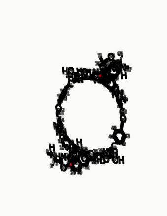 CN[C@@H](C)C(=O)N[C@H](C(=O)N1CC[C@@H]2[C@H]1C(=O)NC(=O)C[C@@H](Cc1ccc3ccccc3c1)C(=O)N[C@H](C(=O)O)Cc1ccc(cc1)OCc1cn(nn1)[C@@H]1CCN(C(=O)[C@@H](NC(=O)[C@H](C)NC)C(C)(C)C)[C@@H]1C(=O)N[C@@H](Cc1ccc3ccccc3c1)C(=O)N[C@H](C(=O)O)Cc1ccc(cc1)OCc1cn2nn1)C(C)(C)C